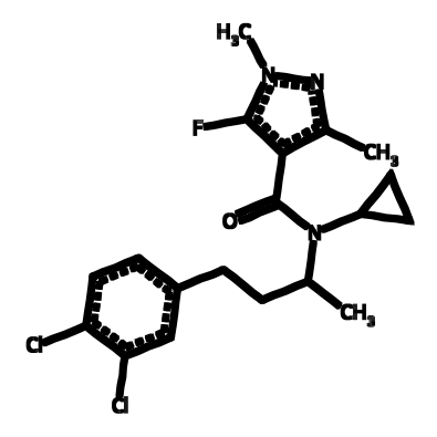 Cc1nn(C)c(F)c1C(=O)N(C(C)CCc1ccc(Cl)c(Cl)c1)C1CC1